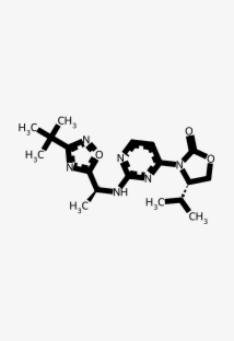 CC(C)[C@H]1COC(=O)N1c1ccnc(N[C@@H](C)c2nc(C(C)(C)C)no2)n1